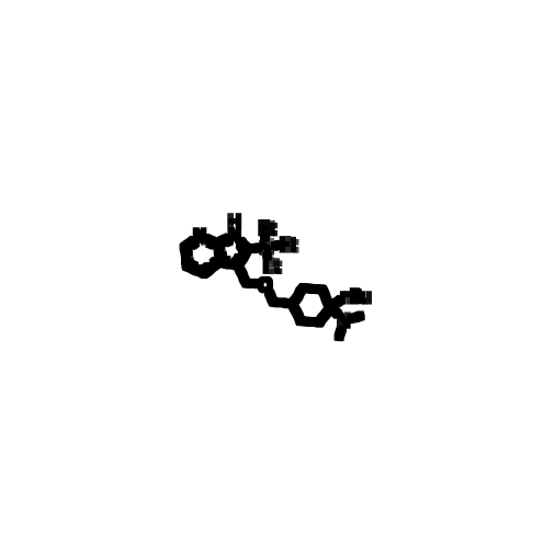 CCCCC1(N(C)C)CCC(COCc2c([Si](CC)(CC)CC)[nH]c3ncccc23)CC1